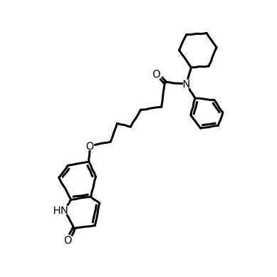 O=C(CCCCCOc1ccc2[nH]c(=O)ccc2c1)N(c1ccccc1)C1CCCCC1